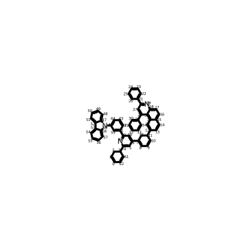 C1=CCC(c2cc(C3=CC=CC(c4ccc5ccc6nc(-c7ccccc7)cc(-c7ccccc7)c6c5c4)C3)cc(-c3cccc(-n4c5ccccc5c5ccccc54)c3)n2)C=C1